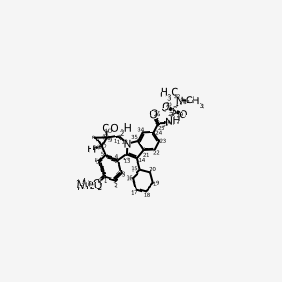 COc1ccc2c(c1)[C@@H]1C[C@]1(C(=O)O)Cn1c-2c(C2CCCCC2)c2ccc(C(=O)NS(=O)(=O)N(C)C)cc21